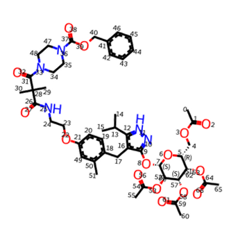 CC(=O)OC[C@H]1O[C@@H](Oc2n[nH]c(C(C)C)c2Cc2ccc(OCCNC(=O)C(C)(C)C(=O)N3CCN(C(=O)OCc4ccccc4)CC3)cc2C)[C@H](OC(C)=O)[C@@H](OC(C)=O)[C@H]1OC(C)=O